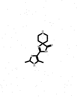 CC1=C(C2=NC3(CCNCC3)C(=O)N2)SC(C)N1